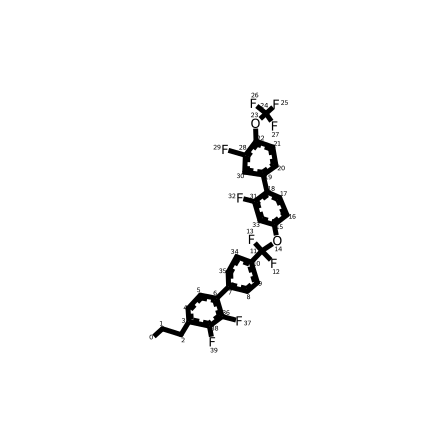 CCCc1ccc(-c2ccc(C(F)(F)Oc3ccc(-c4ccc(OC(F)(F)F)c(F)c4)c(F)c3)cc2)c(F)c1F